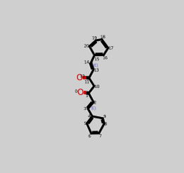 O=C(/C=C/c1ccccc1)CC(=O)/C=C/c1ccccc1